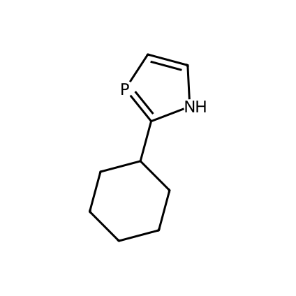 c1cpc(C2CCCCC2)[nH]1